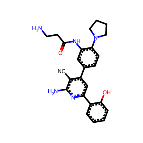 N#Cc1c(-c2ccc(N3CCCC3)c(NC(=O)CCN)c2)cc(-c2ccccc2O)nc1N